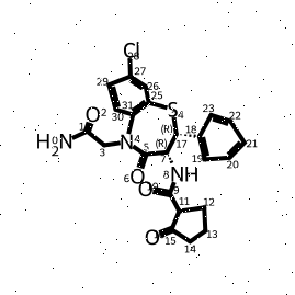 NC(=O)CN1C(=O)[C@@H](NC(=O)C2CCCC2=O)[C@@H](c2ccccc2)Sc2cc(Cl)ccc21